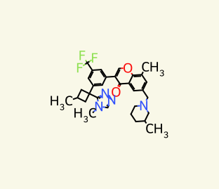 Cc1cc(CN2CCCC(C)C2)cc2c(=O)c(-c3cc(C(F)(F)F)cc(C4(c5nncn5C)CC(C)C4)c3)coc12